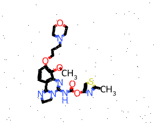 COc1c(OCCCN2CCOCC2)ccc2c1N=C(NC(=O)Oc1csc(C)n1)N1CCN=C21